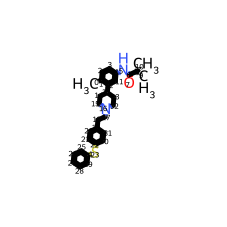 Cc1ccc(NC(=O)C(C)C)cc1C1CCN(CCc2ccc(Sc3ccccc3)cc2)CC1